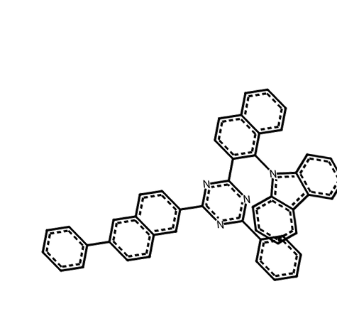 c1ccc(-c2ccc3cc(-c4nc(-c5ccccc5)nc(-c5ccc6ccccc6c5-n5c6ccccc6c6ccccc65)n4)ccc3c2)cc1